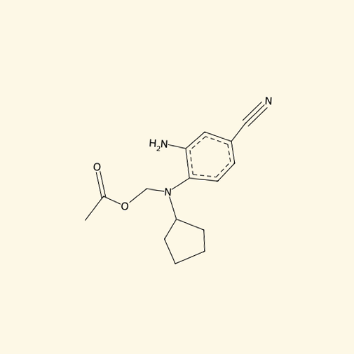 CC(=O)OCN(c1ccc(C#N)cc1N)C1CCCC1